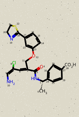 C[C@H](NC(=O)/C(=C/C(Cl)=C\N)COc1cccc(C2=NCCS2)c1)c1ccc(C(=O)O)cc1